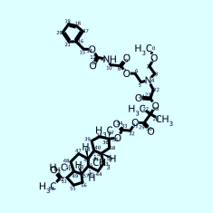 COCCN(CCOC(=O)CNC(=O)OCc1ccccc1)CC(=O)OC(C)(C)C(=O)OCC(=O)O[C@]1(C)CC[C@@]2(C)[C@@H](CC[C@@H]3[C@@H]2CC[C@]2(C)[C@@H](C(C)=O)CC[C@@H]32)C1